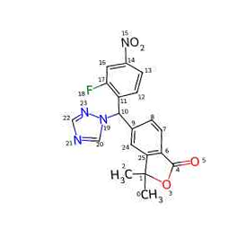 CC1(C)OC(=O)c2ccc(C(c3ccc([N+](=O)[O-])cc3F)n3cncn3)cc21